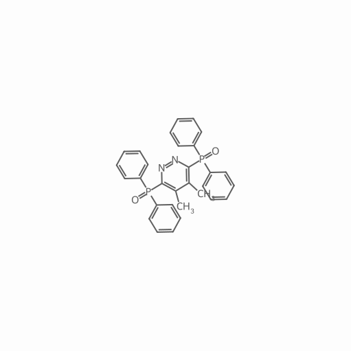 Cc1c(P(=O)(c2ccccc2)c2ccccc2)nnc(P(=O)(c2ccccc2)c2ccccc2)c1C